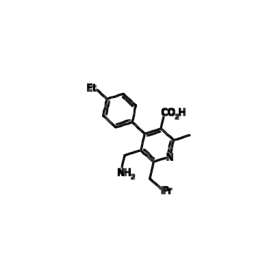 CCc1ccc(-c2c(CN)c(CC(C)C)nc(C)c2C(=O)O)cc1